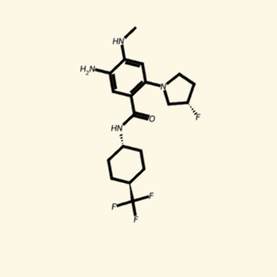 CNc1cc(N2CC[C@H](F)C2)c(C(=O)N[C@H]2CC[C@H](C(F)(F)F)CC2)cc1N